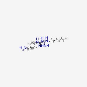 CCCCCCCCNC(=N)NC(=N)Nc1ccc(CN)cc1